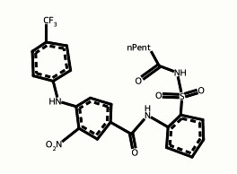 CCCCCC(=O)NS(=O)(=O)c1ccccc1NC(=O)c1ccc(Nc2ccc(C(F)(F)F)cc2)c([N+](=O)[O-])c1